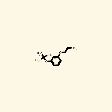 CCCOc1c[c]cc(OC(C)(C)C)c1